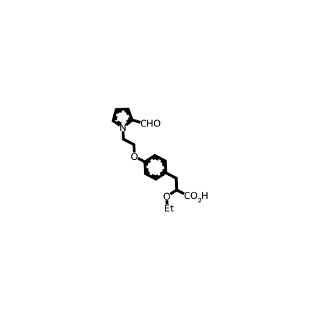 CCOC(Cc1ccc(OCCn2cccc2C=O)cc1)C(=O)O